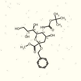 COC(=O)[C@@]1(OCc2ccccc2)C[C@H](O)[C@@H](NC(=O)OC(C)(C)C)[C@H]([C@H](O)[C@H](O)CO)O1